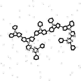 c1ccc(-c2nc(-c3ccccc3)nc(-c3nccc(-n4c5ccccc5c5cc(-c6ccc7c(c6)c6ccc(-c8ccc9c%10cc(-c%11ccc%12c(c%11)c%11cc(-c%13ccc%14c(c%13)c%13ccccc%13n%14-c%13ccccc%13)ccc%11n%12-c%11ccnc(-c%12nc(-c%13ccccc%13)nc(-c%13ccccc%13)n%12)n%11)ccc%10n(-c%10ccccc%10)c9c8)cc6n7-c6ccccc6)ccc54)n3)n2)cc1